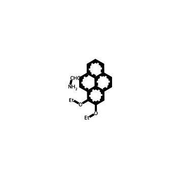 CCOc1cc2ccc3cccc4ccc(c1OCC)c2c34.NC=O